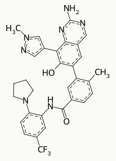 Cc1ccc(C(=O)Nc2cc(C(F)(F)F)ccc2N2CCCC2)cc1-c1cc2cnc(N)nc2c(-c2cnn(C)c2)c1O